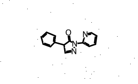 O=C1C(c2ccccc2)C=NN1c1ccccn1